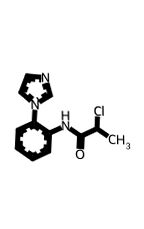 CC(Cl)C(=O)Nc1ccccc1-n1ccnc1